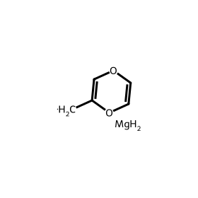 [CH2]C1=COC=CO1.[MgH2]